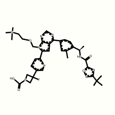 Cc1cc(-c2ncnc3c2cc(-c2ccc(C4(F)CN(C(=O)O)C4)cn2)n3COCC[Si](C)(C)C)ccc1[C@@H](C)NC(=O)c1nc(C(C)(C)C)no1